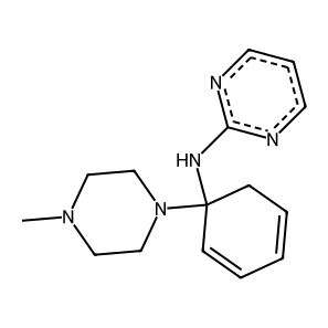 CN1CCN(C2(Nc3ncccn3)C=CC=CC2)CC1